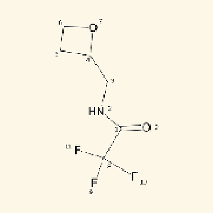 O=C(NCC1CCO1)C(F)(F)F